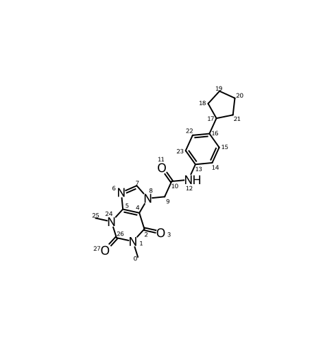 Cn1c(=O)c2c(ncn2CC(=O)Nc2ccc(C3CCCC3)cc2)n(C)c1=O